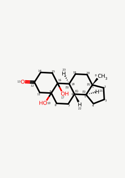 C[C@@]12CCC[C@H]1[C@@H]1CCC3(O)CC(=O)CCC3(O)[C@H]1CC2